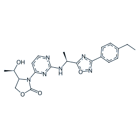 CCc1ccc(-c2noc([C@H](C)Nc3nccc(N4C(=O)OCC4[C@@H](C)O)n3)n2)cc1